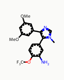 COc1cc(OC)cc(-c2ncn(C)c2-c2ccc(OC(F)(F)F)c(N)c2)c1